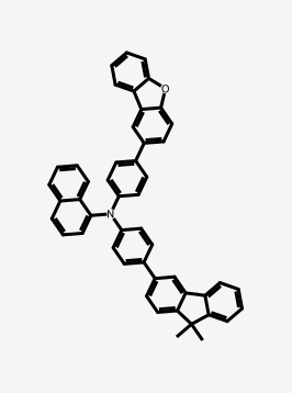 CC1(C)c2ccccc2-c2cc(-c3ccc(N(c4ccc(-c5ccc6oc7ccccc7c6c5)cc4)c4cccc5ccccc45)cc3)ccc21